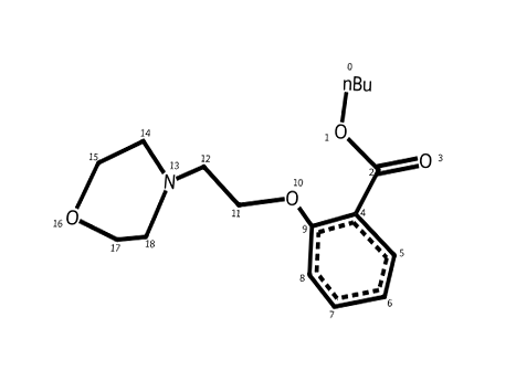 CCCCOC(=O)c1ccccc1OCCN1CCOCC1